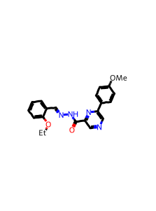 CCOc1ccccc1/C=N/NC(=O)c1cncc(-c2ccc(OC)cc2)n1